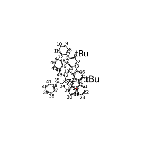 CC(C)(C)c1cc2c(cc1-c1ccccc1)Cc1c-2cc(C(C)(C)C)c(-c2ccccc2)[c]1[Zr]([C]1=CC=CC1)=[C](CCc1ccccc1)CCc1ccccc1